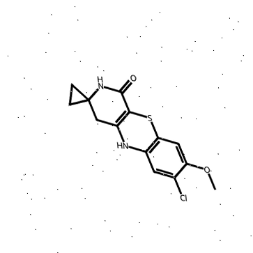 COc1cc2c(cc1Cl)NC1=C(S2)C(=O)NC2(CC2)C1